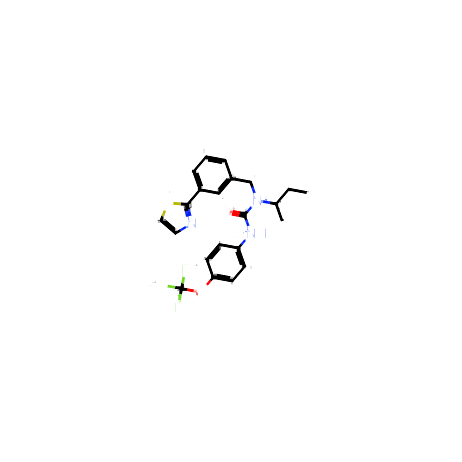 CCC(C)N(Cc1cccc(-c2nccs2)c1)C(=O)Nc1ccc(OC(F)(F)F)cc1